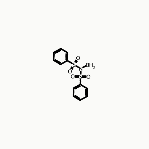 BN(S(=O)(=O)c1ccccc1)S(=O)(=O)c1ccccc1